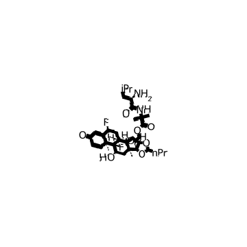 CCCC1O[C@@H]2C[C@H]3[C@@H]4C[C@H](F)C5=CC(=O)C=C[C@]5(C)[C@@]4(F)[C@@H](O)C[C@]3(C)[C@]2(C(=O)COC(=O)C(C)(C)NC(=O)[C@@H](N)CC(C)C)O1